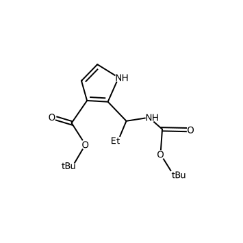 CCC(NC(=O)OC(C)(C)C)c1[nH]ccc1C(=O)OC(C)(C)C